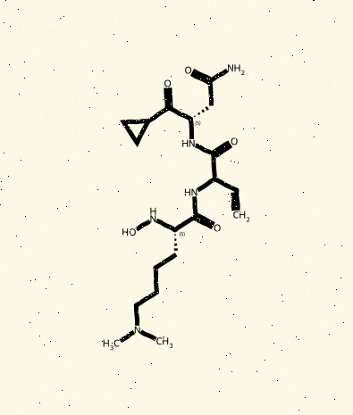 C=CC(NC(=O)[C@H](CCCCN(C)C)NO)C(=O)N[C@@H](CC(N)=O)C(=O)C1CC1